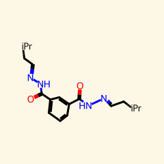 CC(C)C/C=N/NC(=O)c1cccc(C(=O)N/N=C/CC(C)C)c1